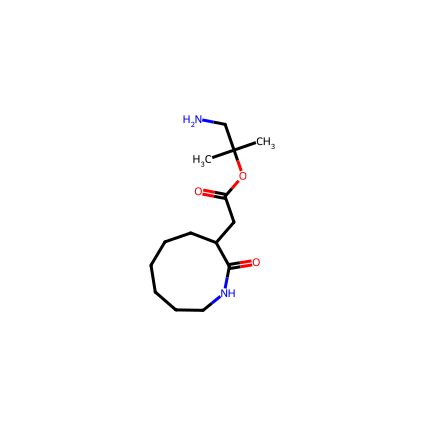 CC(C)(CN)OC(=O)CC1CCCCCCNC1=O